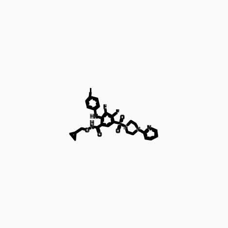 O=C(NOCC1CC1)c1cc(S(=O)(=O)N2CCN(c3ccccn3)CC2)c(F)c(F)c1Nc1ccc(I)cc1